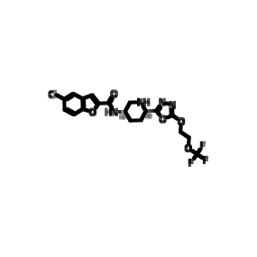 O=C(N[C@H]1CC[C@H](c2nnc(OCCOC(F)(F)F)o2)NC1)c1cc2cc(Cl)ccc2o1